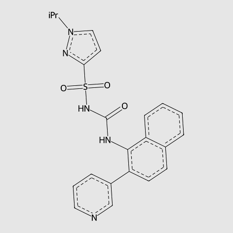 CC(C)n1ccc(S(=O)(=O)NC(=O)Nc2c(-c3cccnc3)ccc3ccccc23)n1